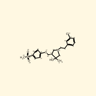 CC1(O)CN(CCc2cccc(Cl)c2)C[C@@H]1COc1ccc(S(C)(=O)=O)cc1